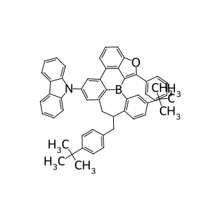 CC(C)(C)c1ccc(CC2Cc3cc(-n4c5ccccc5c5ccccc54)cc4c3B(c3cc(C(C)(C)C)ccc32)c2c(-c3ccccc3)oc3cccc-4c23)cc1